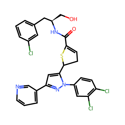 O=C(N[C@H](CO)Cc1cccc(Cl)c1)C1=CCC(c2cc(-c3cccnc3)nn2-c2ccc(Cl)c(Cl)c2)S1